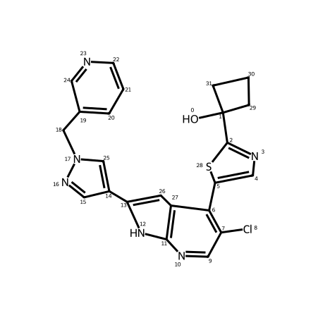 OC1(c2ncc(-c3c(Cl)cnc4[nH]c(-c5cnn(Cc6cccnc6)c5)cc34)s2)CCC1